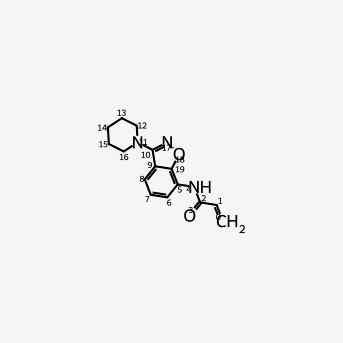 C=CC(=O)Nc1cccc2c(N3CCCCC3)noc12